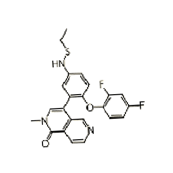 CCSNc1ccc(Oc2ccc(F)cc2F)c(-c2cn(C)c(=O)c3ccncc23)c1